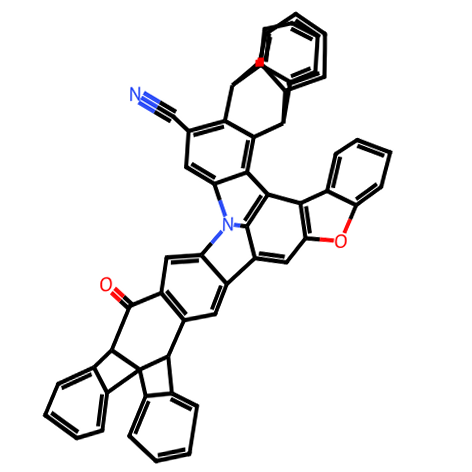 N#Cc1cc2c(c3c1C1c4ccccc4C3c3ccccc31)c1c3c(cc4c5cc6c(cc5n2c41)C(=O)C1c2ccccc2C12c1ccccc1C62)oc1ccccc13